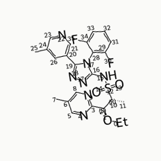 CCO[C@@H](c1ncc(C)cn1)[C@@H](C)S(=O)(=O)Nc1nnc(-c2cncc(C)c2)n1-c1c(F)cccc1F